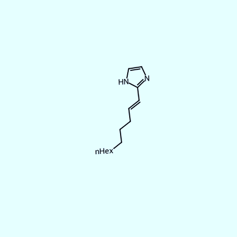 CCCCCCCCC/C=C/c1ncc[nH]1